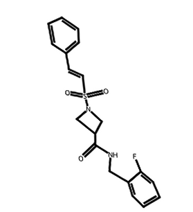 O=C(NCc1ccccc1F)C1CN(S(=O)(=O)C=Cc2ccccc2)C1